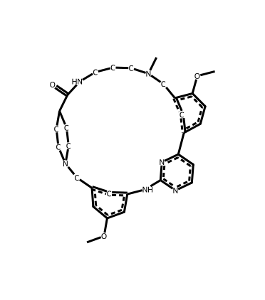 COc1cc2cc(c1)Nc1nccc(n1)-c1ccc(OC)c(c1)CN(C)CCCNC(=O)C1CCN(CC1)C2